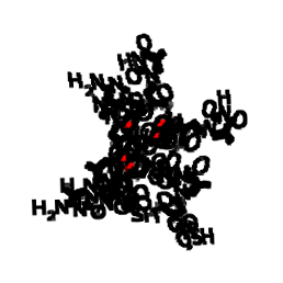 COP(=O)(S)O[C@@H]1C[C@H](n2cc(C)c(=O)[nH]c2=O)O[C@@H]1COP(=O)(S)O[C@@H]1C[C@H](n2cc(C)c(N)nc2=O)O[C@@H]1COP(=O)(S)O[C@@H]1C[C@H](n2cnc3c(N)ncnc32)O[C@@H]1COP(=O)(S)O[C@@H]1C[C@H](n2cc(C)c(N)nc2=O)O[C@@H]1COP(=O)(S)O[C@@H]1C[C@H](n2cc(C)c(=O)[nH]c2=O)O[C@@H]1COP(=O)(S)O[C@@H]1C[C@H](n2cc(C)c(=O)[nH]c2=O)O[C@@H]1COP(=O)(S)O[C@@H]1C[C@H](n2cc(C)c(N)nc2=O)O[C@@H]1C